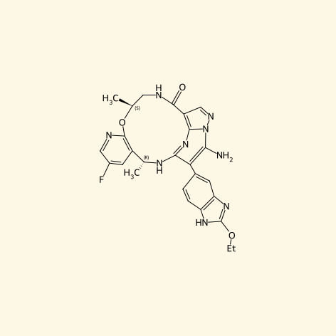 CCOc1nc2cc(-c3c4nc5c(cnn5c3N)C(=O)NC[C@H](C)Oc3ncc(F)cc3[C@@H](C)N4)ccc2[nH]1